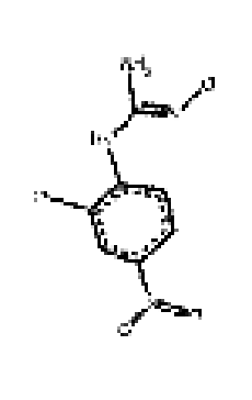 NC(=NCl)Nc1ccc([N+](=O)[O-])cc1Cl